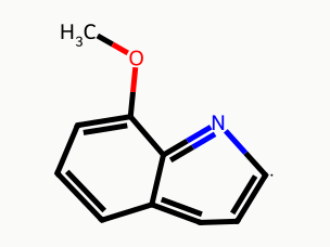 COc1cccc2cc[c]nc12